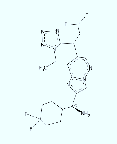 N[C@H](c1cn2ncc(C(CC(F)F)c3nnnn3CC(F)(F)F)cc2n1)C1CCC(F)(F)CC1